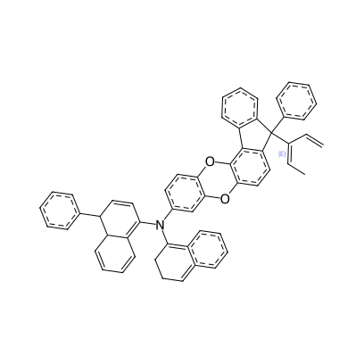 C=C/C(=C\C)C1(c2ccccc2)c2ccccc2-c2c1ccc1c2Oc2ccc(N(C3=C4C=CC=CC4C(c4ccccc4)C=C3)C3=c4ccccc4=CCC3)cc2O1